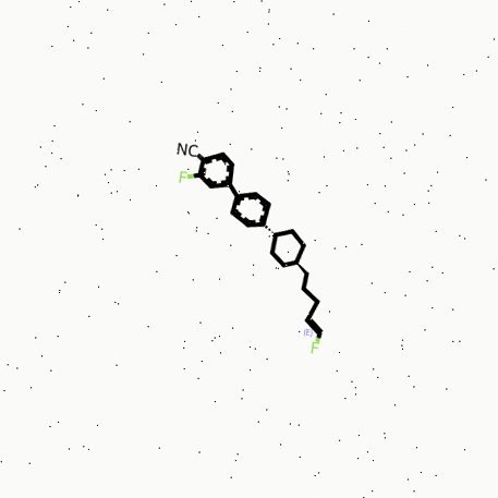 N#Cc1ccc(-c2ccc([C@H]3CC[C@H](CCC/C=C/F)CC3)cc2)cc1F